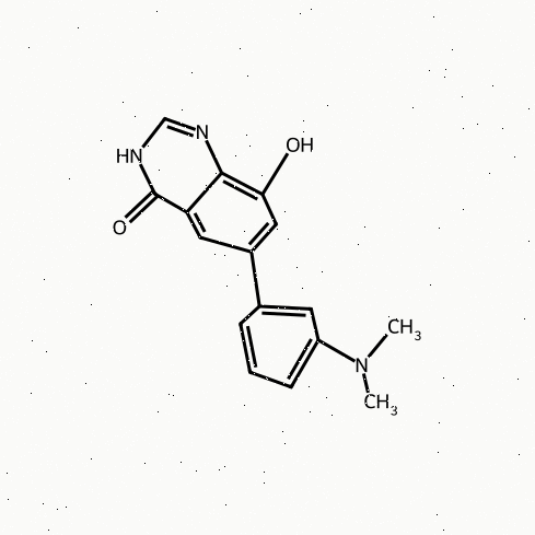 CN(C)c1cccc(-c2cc(O)c3nc[nH]c(=O)c3c2)c1